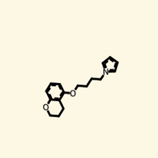 c1cc(OCCCCn2cccc2)c2c(c1)OCCC2